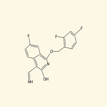 N=Cc1c(O)nc(OCc2ccc(F)cc2F)c2cc(F)ccc12